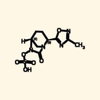 Cc1noc([C@@H]2CC[C@@H]3CN2C(=O)N3OS(=O)(=O)O)n1